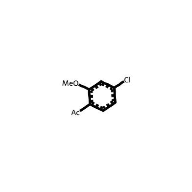 COc1cc(Cl)ccc1C(C)=O